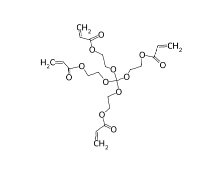 C=CC(=O)OCCOC(OCCOC(=O)C=C)(OCCOC(=O)C=C)OCCOC(=O)C=C